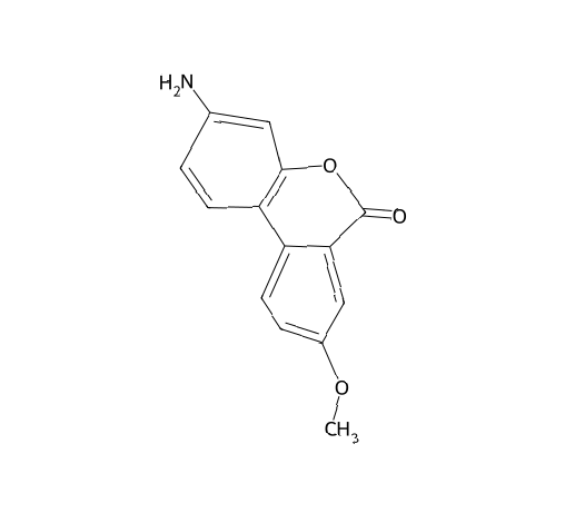 COc1ccc2c(c1)c(=O)oc1cc(N)ccc12